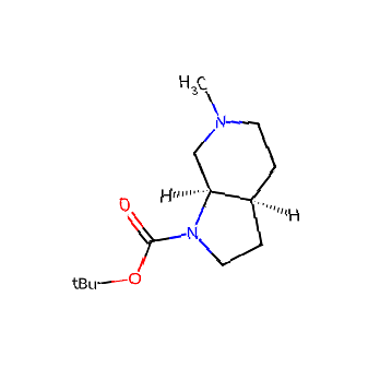 CN1CC[C@H]2CCN(C(=O)OC(C)(C)C)[C@H]2C1